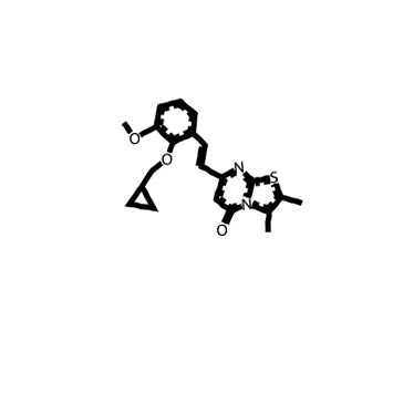 COc1cccc(C=Cc2cc(=O)n3c(C)c(C)sc3n2)c1OCC1CC1